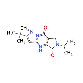 CC(C)N1Cc2c([nH]c3cc(C(C)(C)C)nn3c2=O)C1=O